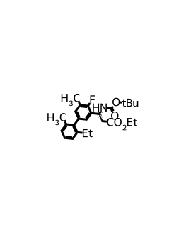 CCOC(=O)C[C@H](NC(=O)OC(C)(C)C)c1cc(-c2c(C)cccc2CC)cc(C)c1F